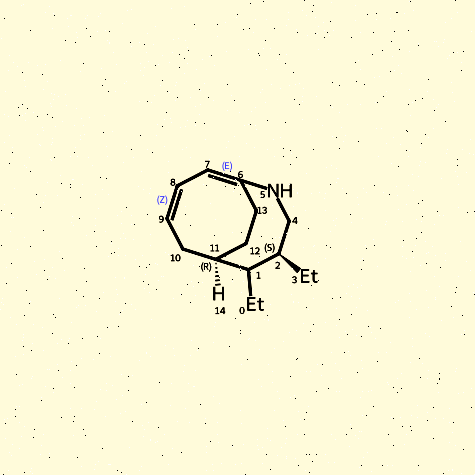 CCC1[C@H](CC)CN/C2=C/C=C\C[C@H]1CC2